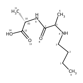 CCCCNC(C)C(=O)N[C@@H](C)C(=O)O